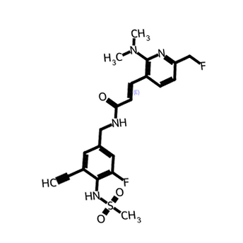 C#Cc1cc(CNC(=O)/C=C/c2ccc(CF)nc2N(C)C)cc(F)c1NS(C)(=O)=O